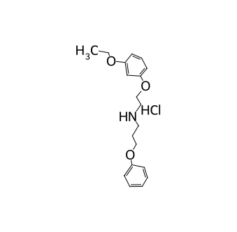 CCOc1cccc(OCCNCCCOc2ccccc2)c1.Cl